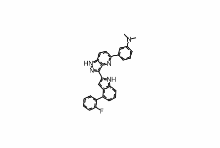 CN(C)c1cccc(-c2ccc3[nH]nc(-c4cc5c(-c6ccccc6F)cccc5[nH]4)c3n2)c1